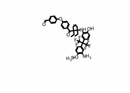 BOc1ccc(C(c2ccc(O)c(NC(CC)(CC)C(CC)(CC)C(=O)c3ccc(Oc4ccc(C=O)cc4)cc3)c2)(C(F)(F)F)C(F)(F)F)cc1N